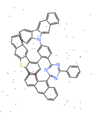 c1ccc(-c2nc(-c3ccc(-n4c5ccccc5c5cc6ccccc6cc54)cc3-c3cccc4sc5cc6ccccc6cc5c34)nc(-c3c4ccccc4cc4ccccc34)n2)cc1